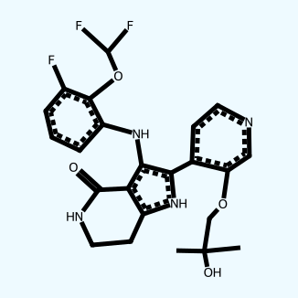 CC(C)(O)COc1cnccc1-c1[nH]c2c(c1Nc1cccc(F)c1OC(F)F)C(=O)NCC2